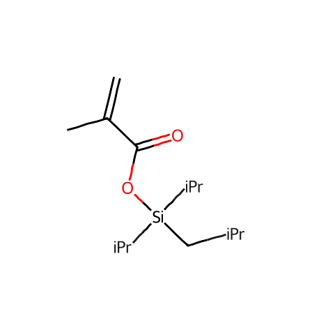 C=C(C)C(=O)O[Si](CC(C)C)(C(C)C)C(C)C